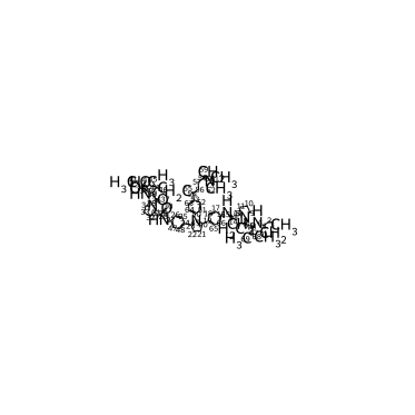 C=C(CC)N[C@H](C(=C)N1CCC[C@H]1C(=C)Nc1ccc(C2CCC(c3ccc(NC(=O)[C@@H]4CCCN4C(=O)[C@@H](NC(=O)OC)C(C)C)cc3)N2c2ccc(C(=C)CCC(=C)N(C)C)cc2)cc1)C(C)C